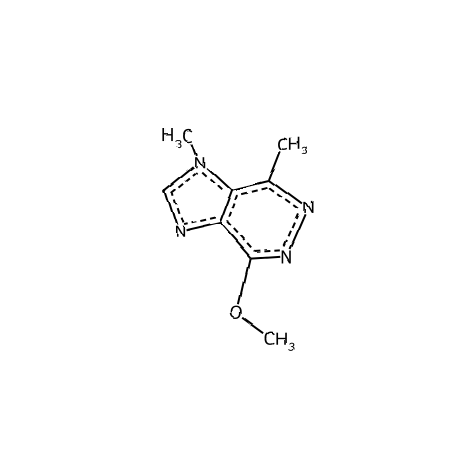 COc1nnc(C)c2c1ncn2C